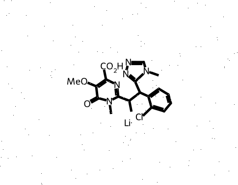 COc1c(C(=O)O)nc(C(C)C(c2ccccc2Cl)c2nncn2C)n(C)c1=O.[Li]